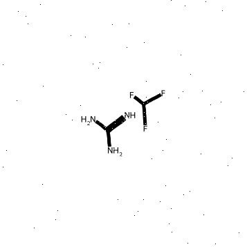 FC(F)F.N=C(N)N